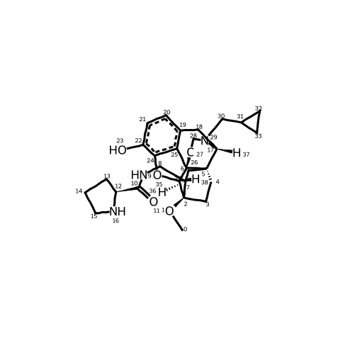 CO[C@]12CC[C@@]3(C[C@@H]1CNC(=O)[C@@H]1CCCN1)[C@H]1Cc4ccc(O)c5c4[C@@]3(CCN1CC1CC1)[C@H]2O5